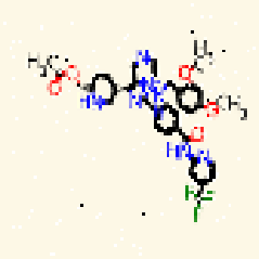 COc1ccc(CN[N+]23C=CN=CC2=C([C@H]2CC[C@@H](COC(C)=O)NC2)N=C3c2ccc(C(=O)Nc3cc(C(F)(F)F)ccn3)cc2)c(OC)c1